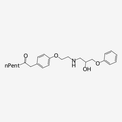 CCCCCC(=O)Cc1ccc(OCCNCC(O)COc2ccccc2)cc1